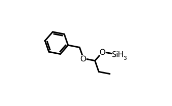 CCC(O[SiH3])OCc1ccccc1